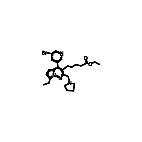 CCOC(=O)CCCCc1c(CN2CCCC2)nn2c(CC)ccc2c1-c1cncc(Br)c1